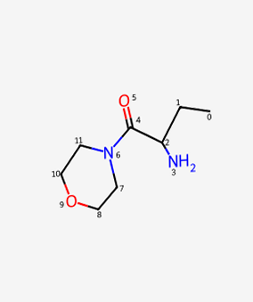 CCC(N)C(=O)N1CCOCC1